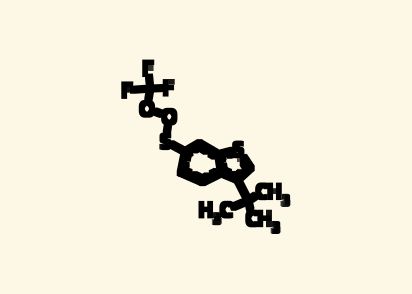 CC(C)(C)c1csc2cc(SOOC(F)(F)F)ccc12